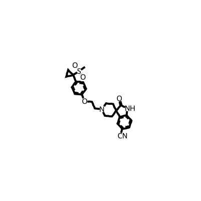 CS(=O)(=O)C1(c2ccc(OCCN3CCC4(CC3)C(=O)Nc3ccc(C#N)cc34)cc2)CC1